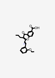 CCCc1c(/C=C/c2ccccc2OCC)oc2ccc(C(=O)O)cc2c1=O